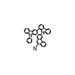 N#Cc1cc2ccc(-n3c4ccccc4c4cccc(-c5ccc6c(c5)c5ccccc5n6-c5ccccc5)c43)cc2c2ccccc12